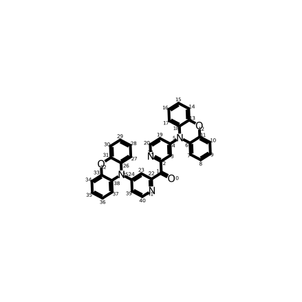 O=C(c1cc(N2c3ccccc3Oc3ccccc32)ccn1)c1cc(N2c3ccccc3Oc3ccccc32)ccn1